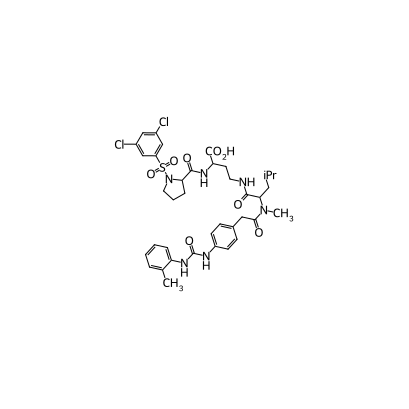 Cc1ccccc1NC(=O)Nc1ccc(CC(=O)N(C)C(CC(C)C)C(=O)NCCC(NC(=O)C2CCCN2S(=O)(=O)c2cc(Cl)cc(Cl)c2)C(=O)O)cc1